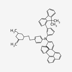 C=C1CC(C)CC(CCc2ccc(N(c3ccc(-c4cccc5cccc(-c6ccccc6)c45)cc3)c3cccc(-c4cccc5c4C(C)(C)c4ccccc4-5)c3)cc2)C1